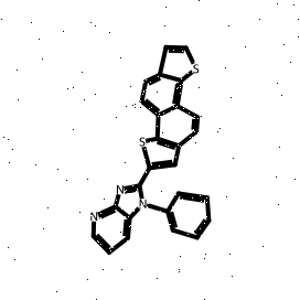 c1ccc(-n2c(-c3cc4ccc5c(ccc6ccsc65)c4s3)nc3ncccc32)cc1